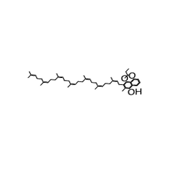 CCC(=O)Oc1c(CC=C(C)CCC=C(C)CCC=C(C)CCC=C(C)CCC=C(C)CCC=C(C)CCC=C(C)C)c(C)c(O)c2ccccc12